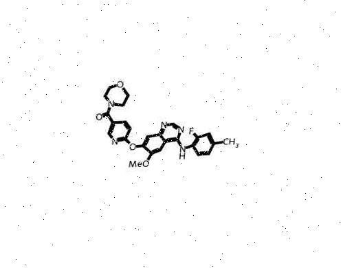 COc1cc2c(Nc3ccc(C)cc3F)ncnc2cc1Oc1ccc(C(=O)N2CCOCC2)cn1